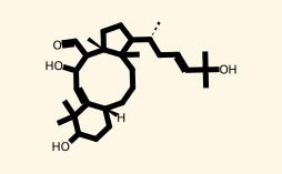 C[C@H](C/C=C/C(C)(C)O)C1CC[C@@]2(C)C(C=O)C(O)/C=C3\[C@H](CCCC12C)CCC(O)C3(C)C